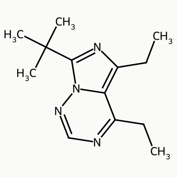 CCc1ncnn2c(C(C)(C)C)nc(CC)c12